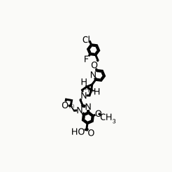 COc1cc(C(=O)O)cc2c1nc(CN1C[C@@H]3C(c4cccc(OCc5ccc(Cl)cc5F)n4)[C@@H]3C1)n2C[C@@H]1CCO1